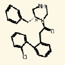 O=C(Cc1ccccc1-c1ccccc1Cl)N1CCNC[C@H]1Cc1ccccc1